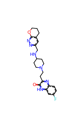 O=c1[nH]c2cc(F)ccc2nc1CCN1CCC(NCc2cc3c(nn2)OCCC3)CC1